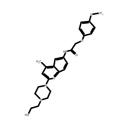 Cc1cc(N2CCN(CCO)CC2)nc2ccc(NC(=O)COc3ccc(OC(F)(F)F)cc3)cc12